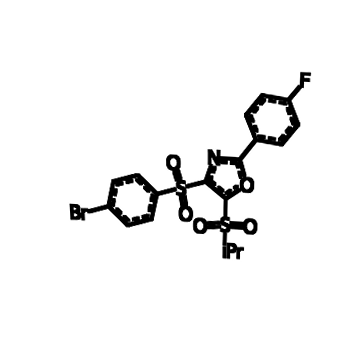 CC(C)S(=O)(=O)c1oc(-c2ccc(F)cc2)nc1S(=O)(=O)c1ccc(Br)cc1